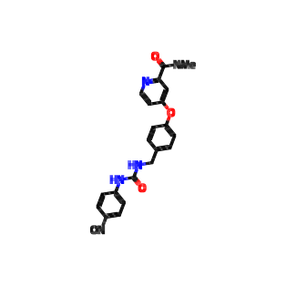 CNC(=O)c1cc(Oc2ccc(CNC(=O)Nc3ccc(N=O)cc3)cc2)ccn1